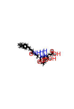 CC(C)(C)OC(=O)[C@H](CCCNC(=O)CCCc1cc[c]([Sn]([CH3])([CH3])[CH3])cc1)NC(=O)N[C@@H](CCC(=O)O)C(=O)O